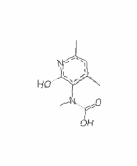 Cc1cc(C)c(N(C)C(=O)O)c(O)n1